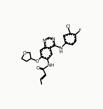 C/C=C/C(=O)Nc1cc2c(Nc3ccc(F)c(Cl)c3)ncnc2cc1OC1CCOC1